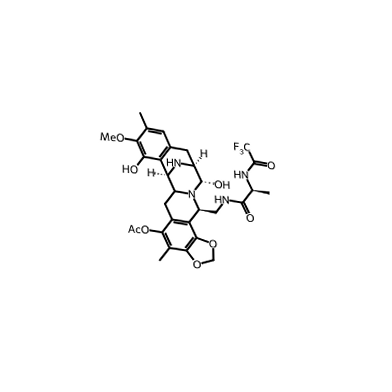 COc1c(C)cc2c(c1O)[C@H]1N[C@@H](C2)[C@H](O)N2C1Cc1c(OC(C)=O)c(C)c3c(c1[C@@H]2CNC(=O)[C@H](C)NC(=O)C(F)(F)F)OCO3